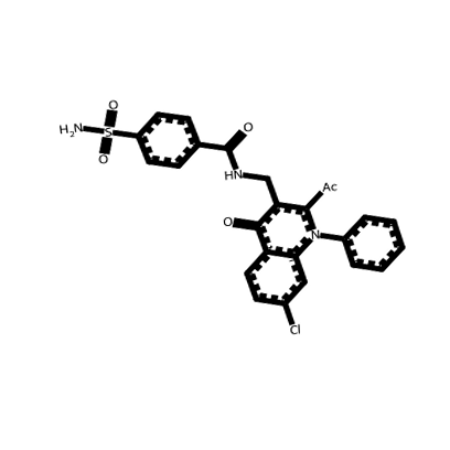 CC(=O)c1c(CNC(=O)c2ccc(S(N)(=O)=O)cc2)c(=O)c2ccc(Cl)cc2n1-c1ccccc1